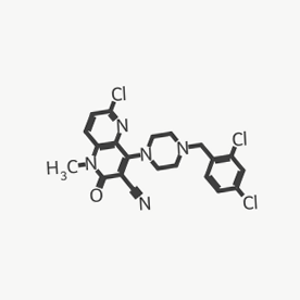 Cn1c(=O)c(C#N)c(N2CCN(Cc3ccc(Cl)cc3Cl)CC2)c2nc(Cl)ccc21